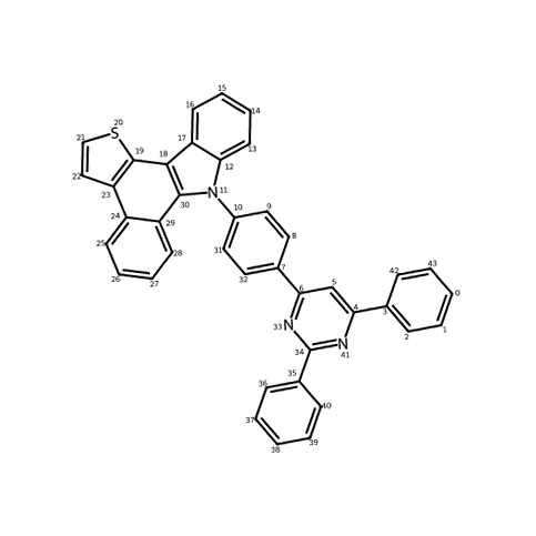 c1ccc(-c2cc(-c3ccc(-n4c5ccccc5c5c6sccc6c6ccccc6c54)cc3)nc(-c3ccccc3)n2)cc1